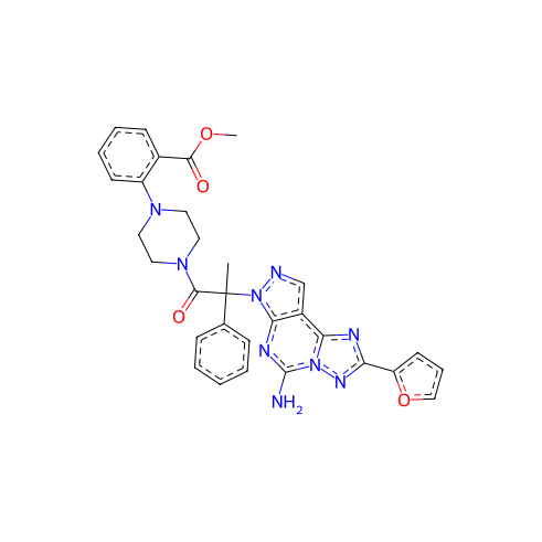 COC(=O)c1ccccc1N1CCN(C(=O)C(C)(c2ccccc2)n2ncc3c2nc(N)n2nc(-c4ccco4)nc32)CC1